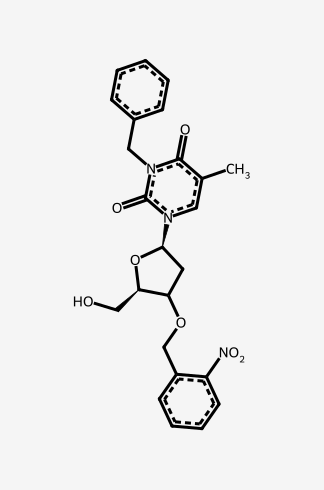 Cc1cn([C@H]2CC(OCc3ccccc3[N+](=O)[O-])[C@@H](CO)O2)c(=O)n(Cc2ccccc2)c1=O